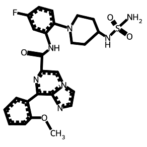 COc1ccccc1-c1nc(C(=O)Nc2cc(F)ccc2N2CCC(NS(N)(=O)=O)CC2)cn2ccnc12